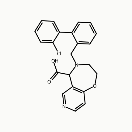 O=C(O)C1c2cnccc2OCCN1Cc1ccccc1-c1ccccc1Cl